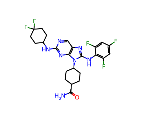 NC(=O)[C@H]1CC[C@@H](n2c(Nc3c(F)cc(F)cc3F)nc3cnc(NC4CCC(F)(F)CC4)nc32)CC1